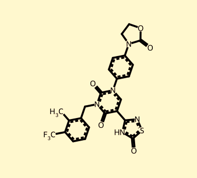 Cc1c(Cn2c(=O)c(-c3nsc(=O)[nH]3)cn(-c3ccc(N4CCOC4=O)cc3)c2=O)cccc1C(F)(F)F